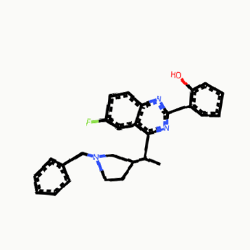 CC(c1nc(-c2ccccc2O)nc2ccc(F)cc12)C1CCN(Cc2ccccc2)C1